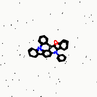 C1=Cc2c(c3ccc4c5c3n2-c2ccccc2B5c2oc3ccccc3c2N4c2ccccc2)CC1